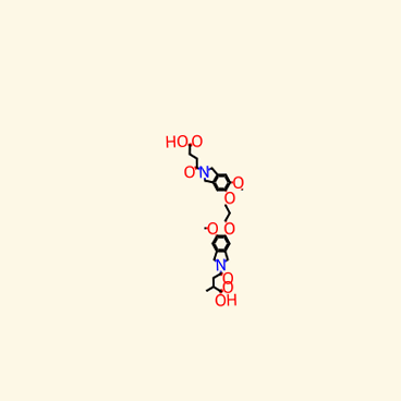 COc1cc2c(cc1OCCCOc1cc3c(cc1OC)CN(C(=O)CC(C)C(=O)O)C3)CN(C(=O)CCC(=O)O)C2